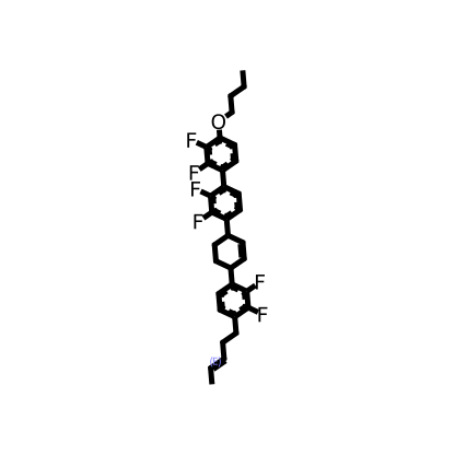 C/C=C/CCc1ccc(C2C=CC(c3ccc(-c4ccc(OCCCC)c(F)c4F)c(F)c3F)CC2)c(F)c1F